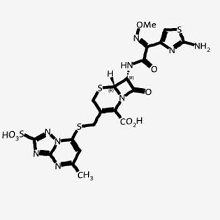 CON=C(C(=O)N[C@@H]1C(=O)N2C(C(=O)O)=C(CSc3cc(C)nc4nc(S(=O)(=O)O)nn34)CS[C@H]12)c1csc(N)n1